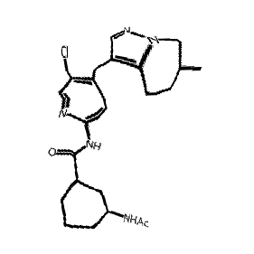 CC(=O)NC1CCCC(C(=O)Nc2cc(-c3cnn4c3CCC(C)C4)c(Cl)cn2)C1